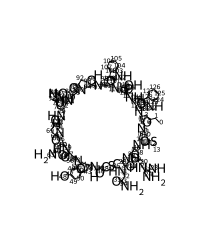 CCCC[C@H]1C(=O)N(C)[C@@H](CCSC)C(=O)N[C@@H](CCCNC(=N)N)C(=O)NC(C(=O)NCC(N)=O)CSCC(=O)N[C@@H](Cc2ccc(O)cc2)C(=O)N(C)[C@@H](C)C(=O)N[C@@H](CC(N)=O)C(=O)N2CCC[C@H]2C(=O)N[C@@H](Cc2cnc[nH]2)C(=O)N[C@@H](CO)C(=O)N2CCCC2C(=O)N[C@@H](Cc2c[nH]c3ccccc23)C(=O)N[C@@H](CO)C(=O)N[C@@H](Cc2c[nH]c3ccccc23)C(=O)N1C